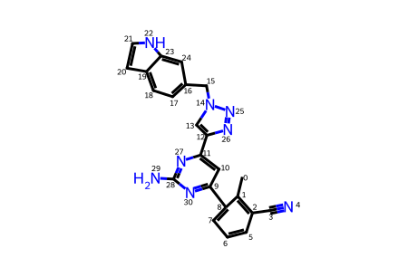 Cc1c(C#N)cccc1-c1cc(-c2cn(Cc3ccc4cc[nH]c4c3)nn2)nc(N)n1